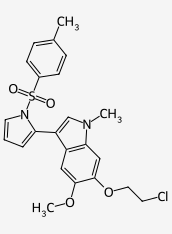 COc1cc2c(-c3cccn3S(=O)(=O)c3ccc(C)cc3)cn(C)c2cc1OCCCl